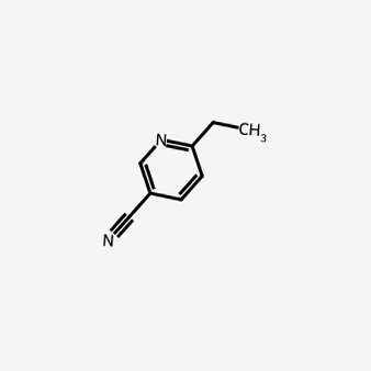 CCc1ccc(C#N)cn1